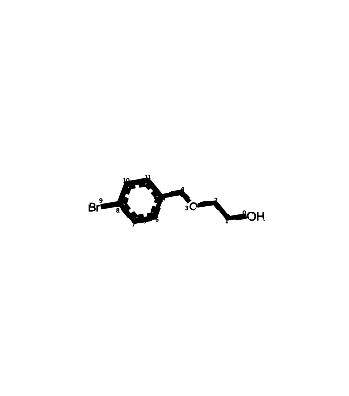 OCCOCc1ccc(Br)cc1